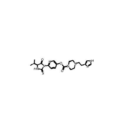 CC(C)C1NC(=S)N(c2ccc(OC(=O)N3CCN(CCc4c[nH]cn4)CC3)cn2)C1=O